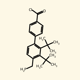 CC(C)(C)c1c(CP)ccc(-c2ccc(C(=O)Cl)cc2)c1C(C)(C)C